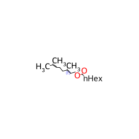 CCCCCCC(=O)OC/C=C(\C)CCC=C(C)C